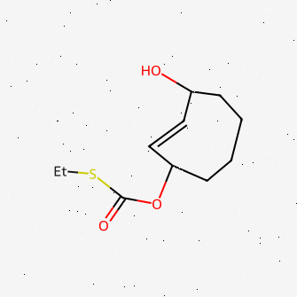 CCSC(=O)OC1/C=C/C(O)CCCC1